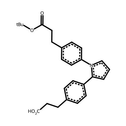 CC(C)(C)OC(=O)CCc1ccc(-n2cccc2-c2ccc(CCC(=O)O)cc2)cc1